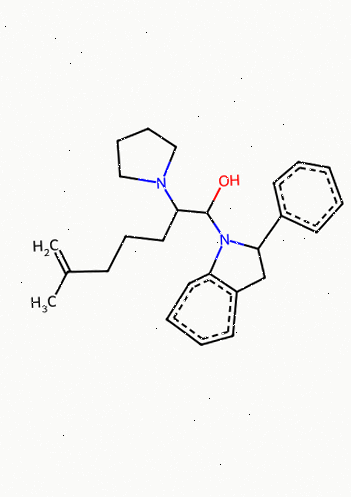 C=C(C)CCCC(C(O)N1c2ccccc2CC1c1ccccc1)N1CCCC1